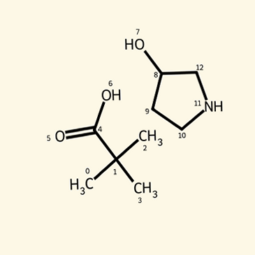 CC(C)(C)C(=O)O.OC1CCNC1